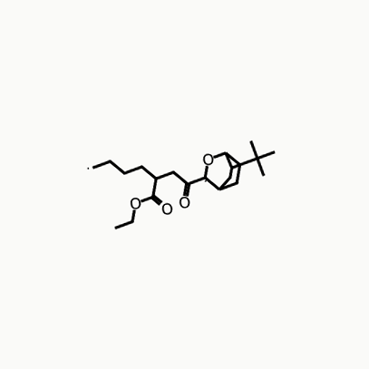 [CH2]CCCC(CC(=O)[C]1OC2CCC1CC2C(C)(C)C)C(=O)OCC